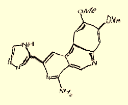 COc1cc2ncc3c(N)nc(-c4nnc[nH]4)cc3c2cc1OC